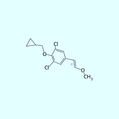 CO/C=C/c1cc(Cl)c(OCC2CC2)c(Cl)c1